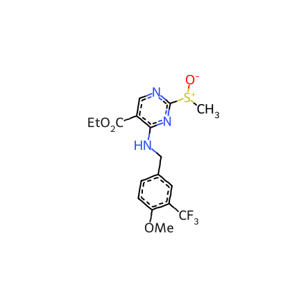 CCOC(=O)c1cnc([S+](C)[O-])nc1NCc1ccc(OC)c(C(F)(F)F)c1